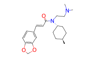 CN(C)CCN(C(=O)C=Cc1ccc2c(c1)OCO2)[C@H]1CC[C@H](C)CC1